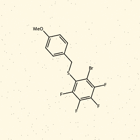 COc1ccc(CSc2c(F)c(F)c(F)c(F)c2Br)cc1